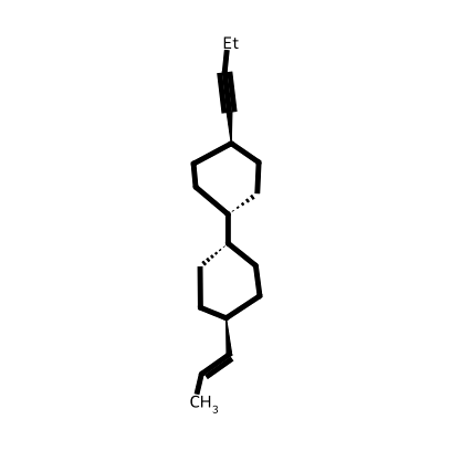 C/C=C/[C@H]1CC[C@H]([C@H]2CC[C@H](C#CCC)CC2)CC1